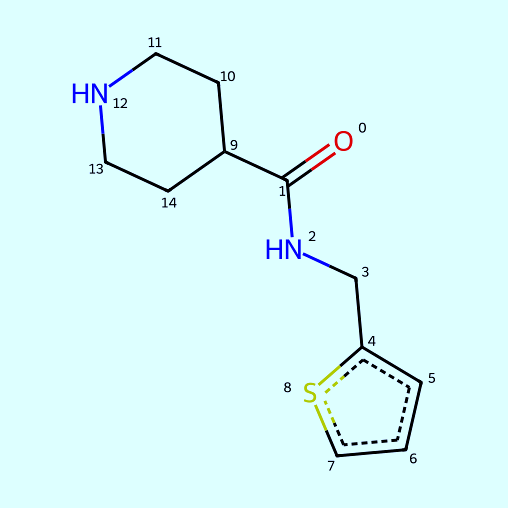 O=C(NCc1cccs1)C1CCNCC1